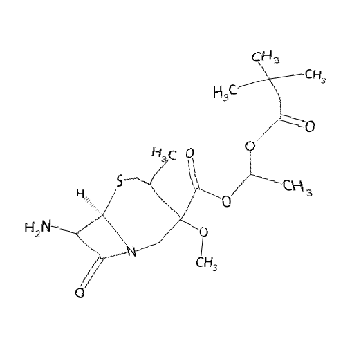 COC1(C(=O)OC(C)OC(=O)C(C)(C)C)CN2C(=O)C(N)[C@H]2SC1C